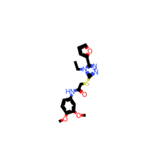 CCn1c(SCC(=O)Nc2ccc(OC)c(OC)c2)nnc1-c1ccco1